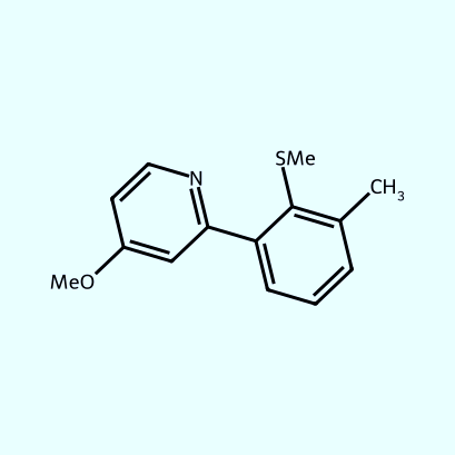 COc1ccnc(-c2cccc(C)c2SC)c1